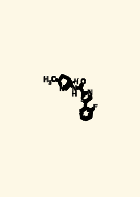 CC1CC2CCN1C[C@@H]2NC(=O)c1ncc(-c2ccccc2F)s1